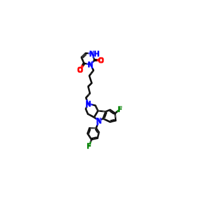 O=c1cc[nH]c(=O)n1CCCCCCN1CCC2C(C1)c1cc(F)ccc1N2c1ccc(F)cc1